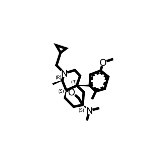 COc1ccc(C)c([C@]23CCN(CC4CC4)[C@H](C)[C@]24CC[C@@](N(C)C)(CO4)C3)c1